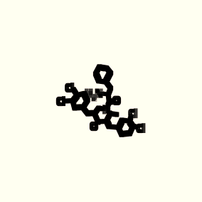 CC1/C(=C\c2ccc(Cl)c(Cl)c2)C(=O)/C(=C/c2ccc(Cl)c(Cl)c2)CN1C(=O)[C@@H](N)Cc1ccccc1